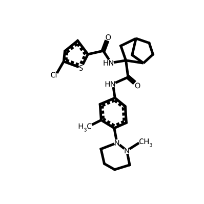 Cc1cc(NC(=O)C2(NC(=O)c3ccc(Cl)s3)CC3CCC2C3)ccc1N1CCCCN1C